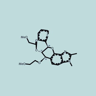 COCCO[C@@H]1c2ccc3c(nc(C)n3C)c2O[C@H](c2ccccc2)[C@H]1OC(=O)COC